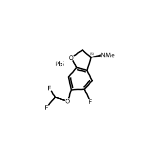 CN[C@@H]1COc2cc(OC(F)F)c(F)cc21.[Pb]